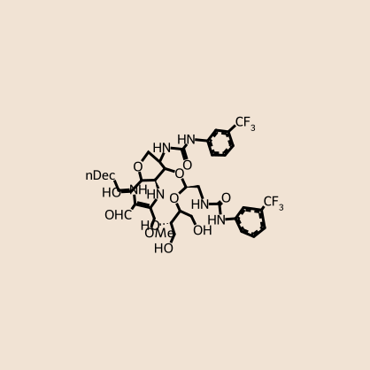 CCCCCCCCCCCN/C(C=O)=C(/COC)N[C@H]1C(CO)OCC(NC(=O)Nc2cccc(C(F)(F)F)c2)C1O[C@@H](CNC(=O)Nc1cccc(C(F)(F)F)c1)OC(CO)[C@@H](O)CO